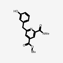 CNC(=O)c1cc(C(=O)OC(C)(C)C)cc(Cc2cccc(O)c2)n1